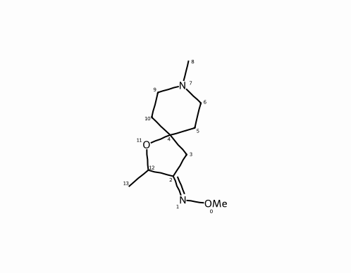 CO/N=C1\CC2(CCN(C)CC2)OC1C